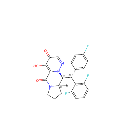 O=C1c2c(O)c(=O)cnn2[C@@H]([C@H](c2ccc(F)cc2)c2c(F)cccc2F)[C@H]2CCCN12